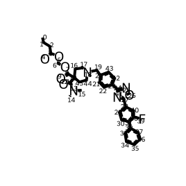 CCCC(=O)OCOC(=O)C1(C(=O)N(C)C)CCN(Cc2ccc(-c3noc(-c4ccc(-c5ccccc5)c(F)c4)n3)cc2)CC1